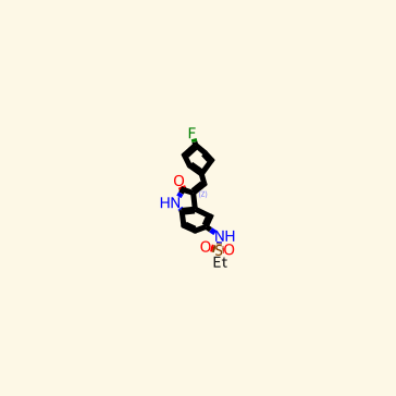 CCS(=O)(=O)Nc1ccc2c(c1)/C(=C/c1ccc(F)cc1)C(=O)N2